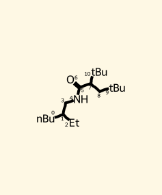 CCCCC(CC)CNC(=O)C(CC(C)(C)C)C(C)(C)C